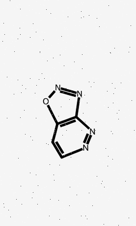 c1cc2onnc2nn1